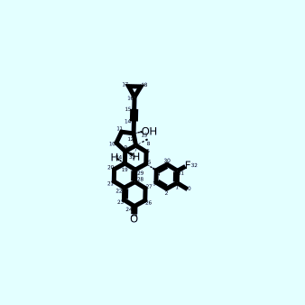 Cc1ccc([C@H]2C[C@@]3(C)[C@@H](CC[C@@]3(O)C#CC3CC3)[C@@H]3CCC4=CC(=O)CCC4=C32)cc1F